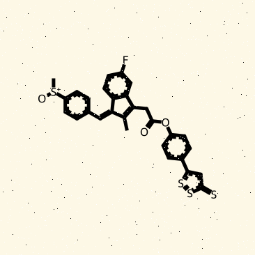 CC1=C(CC(=O)Oc2ccc(-c3cc(=S)ss3)cc2)c2cc(F)ccc2/C1=C\c1ccc([S+](C)[O-])cc1